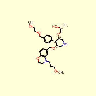 COCCCN1CCOc2ccc(CO[C@H]3CNC[C@@H](OC[C@@H](C)O)[C@@H]3c3ccc(COCCOC)cc3)cc21